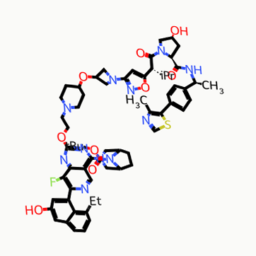 CCc1cccc2cc(O)cc(-c3ncc4c(N5CC6CCC(C5)N6C(=O)OC(C)(C)C)nc(OCCN5CCC(OC6CN(c7cc([C@H](C(=O)N8C[C@H](O)C[C@H]8C(=O)N[C@@H](C)c8ccc(-c9scnc9C)cc8)C(C)C)on7)C6)CC5)nc4c3F)c12